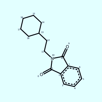 O=C1c2ccccc2C(=O)N1CCC1CCCCC1